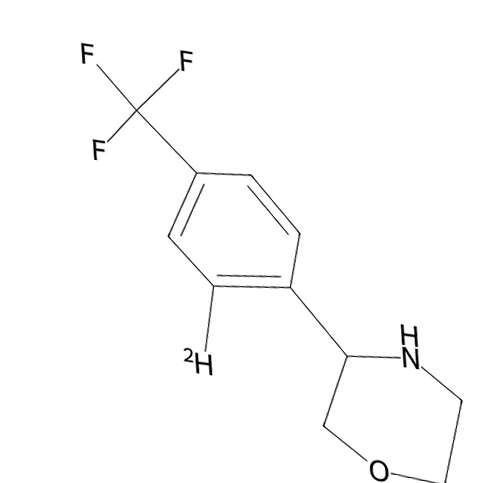 [2H]c1cc(C(F)(F)F)ccc1C1COCCN1